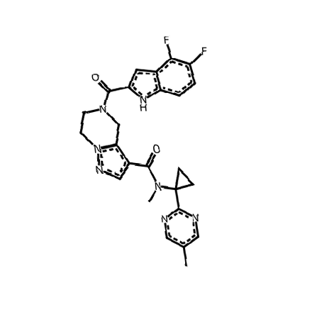 Cc1cnc(C2(N(C)C(=O)c3cnn4c3CN(C(=O)c3cc5c(F)c(F)ccc5[nH]3)CC4)CC2)nc1